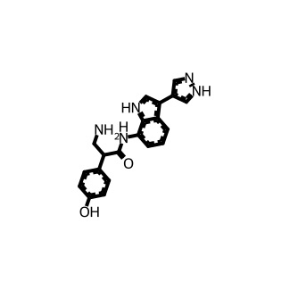 NCC(C(=O)Nc1cccc2c(-c3cn[nH]c3)c[nH]c12)c1ccc(O)cc1